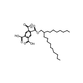 CCCCCCCCCCC(CCCCCCCC)COC(=O)c1cc(C(=O)O)c(C(=O)O)cc1C(=O)O